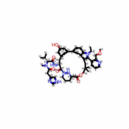 CCn1c(-c2cccnc2[C@H](C)OC)c2c3cc(ccc31)-c1cc(O)cc(c1)C[C@H](NC(=O)[C@H](C(C)C)N(C)C(=O)Cc1c[nH]cn1)C(=O)N1CCC[C@H](N1)C(=O)OCC(C)(C)C2